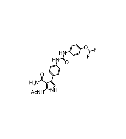 CC(=O)Nc1[nH]cc(-c2ccc(NC(=O)Nc3ccc(OC(F)F)cc3)cc2)c1C(N)=O